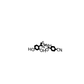 N#Cc1ccc(C(=O)Nc2nc(-c3ccc(O)cc3O)cs2)cc1